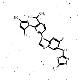 Cc1nnc(Nc2cc3ncn(-c4ccc(C(C)O)c(-n5nc(C#N)cc5C)n4)c3cc2F)o1